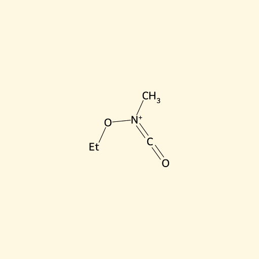 CCO[N+](C)=C=O